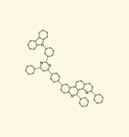 c1ccc(-c2cc(-c3ccc(-c4ccc5nc(-c6ccccc6)c6c(ccc7ccc(-c8ccccc8)nc76)c5c4)cc3)nc(-c3cccc(-n4c5ccccc5c5ccccc54)c3)n2)cc1